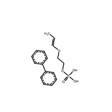 CC=COCCOP(=O)(O)O.c1ccc(-c2ccccc2)cc1